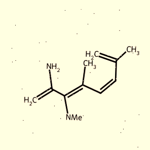 C=C(C)/C=C\C(C)=C(/NC)C(=C)N